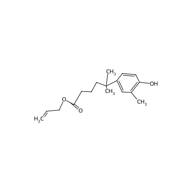 C=CCOC(=O)CCCC(C)(C)c1ccc(O)c(C)c1